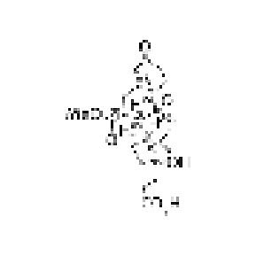 COC(=O)[C@@H]1CC2=CC(=O)CC[C@]2(C)[C@@]23O[C@@H]2C[C@@]2(C)[C@@H](CC[C@]2(O)CCC(=O)O)[C@H]13